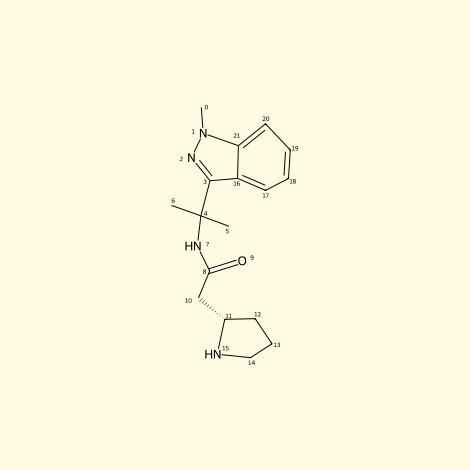 Cn1nc(C(C)(C)NC(=O)C[C@@H]2CCCN2)c2ccccc21